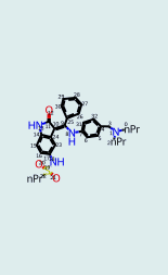 CCCN(CCC)Cc1ccc(NC(=C2C(=O)Nc3ccc(NS(=O)(=O)CCC)cc32)c2ccccc2)cc1